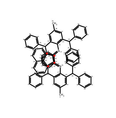 Cc1cc(C(c2ccccc2)c2ccccc2)c(N=C2C(=Nc3c(C(c4ccccc4)c4ccccc4)cc(C)cc3C(c3ccccc3)c3ccccc3)c3cccc4cccc2c34)c(C(c2ccccc2)c2ccccc2)c1